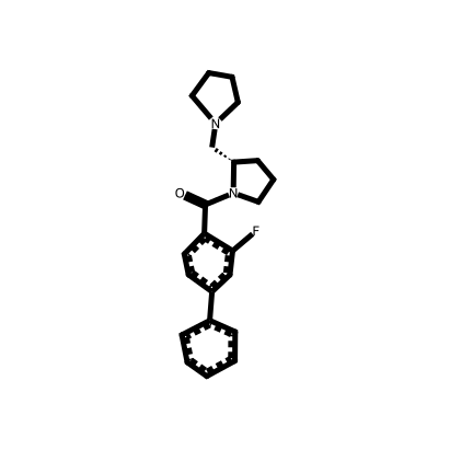 O=C(c1ccc(-c2ccccc2)cc1F)N1CCC[C@H]1CN1CCCC1